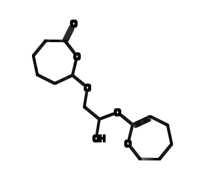 O=C1CCCCC(OCC(O)OC2=CCCCCO2)O1